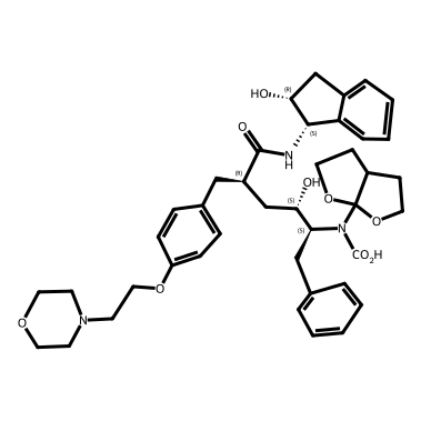 O=C(N[C@H]1c2ccccc2C[C@H]1O)[C@H](Cc1ccc(OCCN2CCOCC2)cc1)C[C@H](O)[C@H](Cc1ccccc1)N(C(=O)O)C12OCCC1CCO2